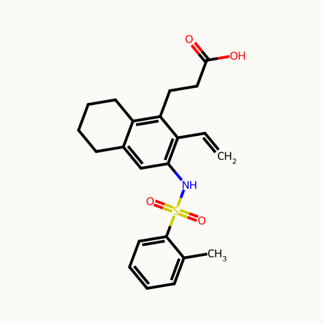 C=Cc1c(NS(=O)(=O)c2ccccc2C)cc2c(c1CCC(=O)O)CCCC2